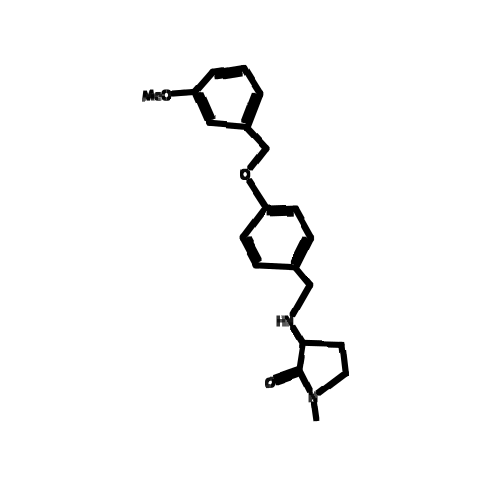 COc1cccc(COc2ccc(CNC3CCN(C)C3=O)cc2)c1